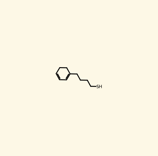 SCCCCC1=CC=CCC1